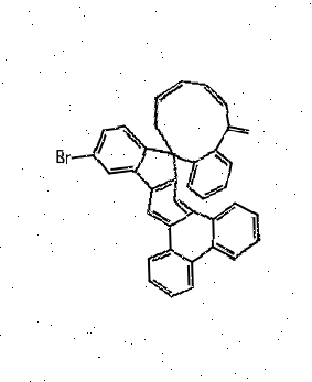 C=C1/C=C\C=C/CC2(c3ccccc31)c1ccc(Br)cc1-c1cc3c4ccccc4c4ccccc4c3cc12